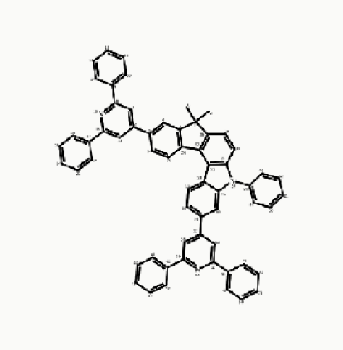 CC1(C)c2cc(-c3cc(-c4ccccc4)nc(-c4ccccc4)c3)ccc2-c2c1ccc1c2c2ccc(-c3cc(-c4ccccc4)nc(-c4ccccc4)c3)cc2n1-c1ccccc1